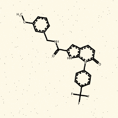 COc1cccc(CNC(=O)c2cc3ccc(=O)n(-c4ccc(C(F)(F)F)cc4)c3[nH]2)c1